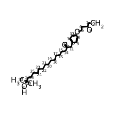 C=CC(=O)CCOc1ccc(CC(=O)CCCCCCCCCCCCCCC(C)(C)O)cc1